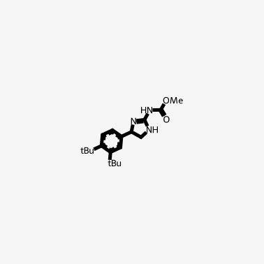 COC(=O)NC1=NC(c2ccc(C(C)(C)C)c(C(C)(C)C)c2)CN1